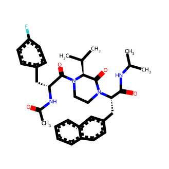 CC(=O)N[C@H](Cc1ccc(F)cc1)C(=O)N1CCN([C@@H](Cc2ccc3ccccc3c2)C(=O)NC(C)C)C(=O)[C@@H]1C(C)C